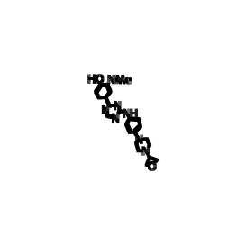 CNC1=CC(c2ncnc(Nc3ccc(N4CCN(C5COC5)CC4)cc3)n2)CC=C1O